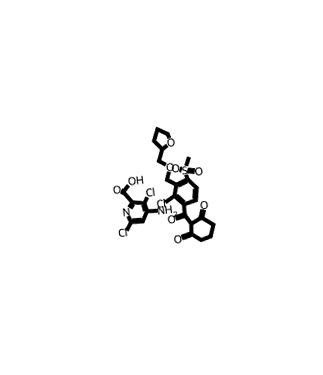 CS(=O)(=O)c1ccc(C(=O)C2C(=O)CCCC2=O)c(Cl)c1COCC1CCCO1.Nc1cc(Cl)nc(C(=O)O)c1Cl